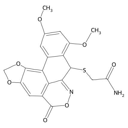 COc1cc(OC)c2c(c1)-c1c3c(cc4c(=O)onc(c14)C2SCC(N)=O)OCO3